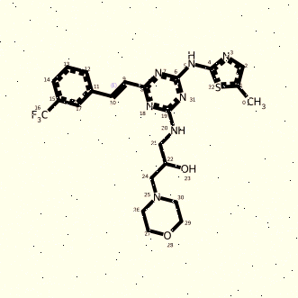 Cc1cnc(Nc2nc(/C=C/c3cccc(C(F)(F)F)c3)nc(NCC(O)CN3CCOCC3)n2)s1